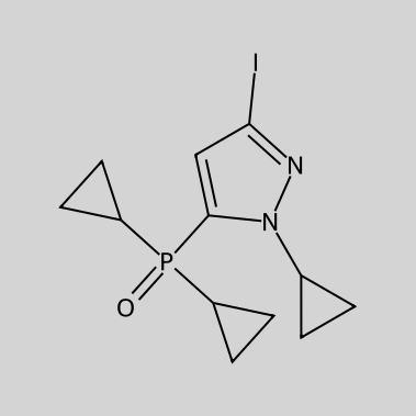 O=P(c1cc(I)nn1C1CC1)(C1CC1)C1CC1